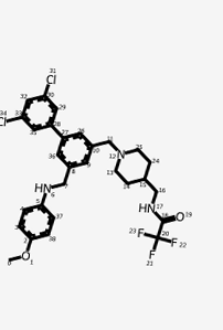 COc1ccc(NCc2cc(CN3CCC(CNC(=O)C(F)(F)F)CC3)cc(-c3cc(Cl)cc(Cl)c3)c2)cc1